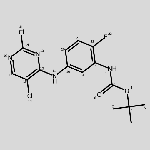 CC(C)(C)OC(=O)Nc1cc(Nc2nc(Cl)ncc2Cl)ccc1F